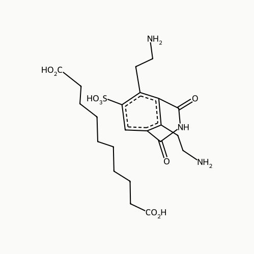 NCCc1c2cc(S(=O)(=O)O)c(CCN)c1C(=O)NC2=O.O=C(O)CCCCCCCCC(=O)O